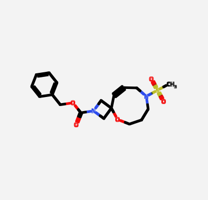 CS(=O)(=O)N1CC#CC2(CN(C(=O)OCc3ccccc3)C2)OCCC1